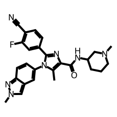 Cc1c(C(=O)NC2CCCN(C)C2)nc(-c2ccc(C#N)c(F)c2)n1-c1ccc2nn(C)cc2c1